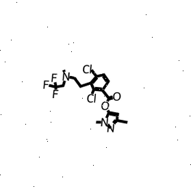 Cc1cc(OC(=O)c2ccc(Cl)c(CCN(C)CC(F)(F)F)c2Cl)n(C)n1